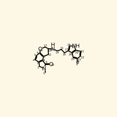 CN1Cc2ccc3c(c2C1=O)CC(NCCCc1c[nH]c2ccc(F)cc12)CO3